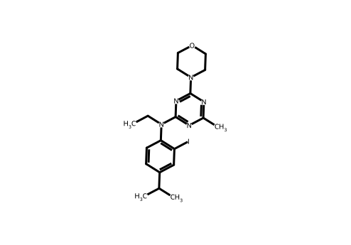 CCN(c1nc(C)nc(N2CCOCC2)n1)c1ccc(C(C)C)cc1I